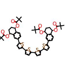 CC(C)(C)C(=O)OC1CCC(OC(=O)C(C)(C)C)c2cc(-c3ccc(-c4ccc(-c5ccc(-c6ccc(-c7ccc8c(c7)C(OC(=O)C(C)(C)C)CCC8OC(=O)C(C)(C)C)s6)s5)s4)s3)ccc21